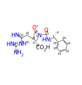 C[C@@H](NC(=O)N1C(=O)[C@](C)(CC(=N)NC(=N)N)[C@H]1C(=O)O)c1ccccc1